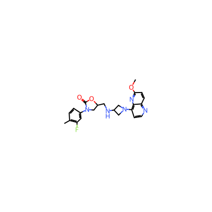 COc1ccc2nccc(N3CC(NCC4CN(c5ccc(C)c(F)c5)C(=O)O4)C3)c2n1